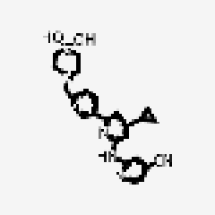 N#Cc1ccnc(Nc2cc(C3CC3)cc(-c3ccc(CN4CCS(O)(O)CC4)nc3)n2)c1